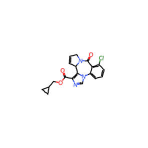 O=C(OCC1CC1)c1ncn2c1C1C=CCN1C(=O)c1c(Cl)cccc1-2